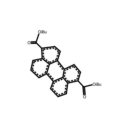 CC(C)COC(=O)c1ccc2c3ccc(C(=O)OCC(C)C)c4cccc(c5cccc1c52)c43